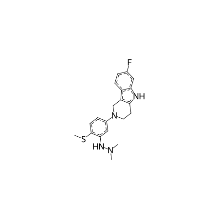 CSc1ccc(N2CCc3[nH]c4cc(F)ccc4c3C2)cc1NN(C)C